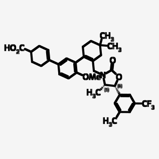 COc1ccc(C2=CCC(C(=O)O)CC2)cc1C1=C(CN2C(=O)O[C@H](c3cc(C)cc(C(F)(F)F)c3)[C@@H]2C)CC(C)(C)CC1